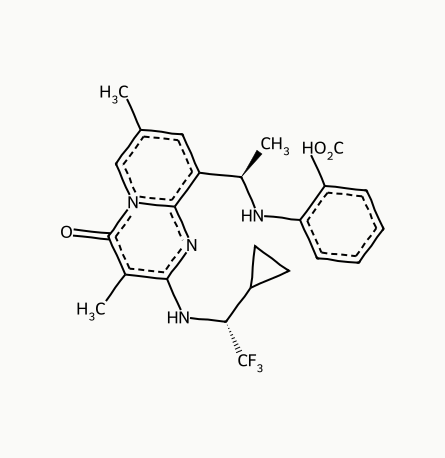 Cc1cc([C@@H](C)Nc2ccccc2C(=O)O)c2nc(N[C@H](C3CC3)C(F)(F)F)c(C)c(=O)n2c1